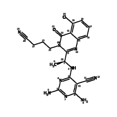 C[C@H](Nc1nc(N)nc(N)c1C#N)c1nc2cccc(Cl)c2c(=O)n1CCCC#N